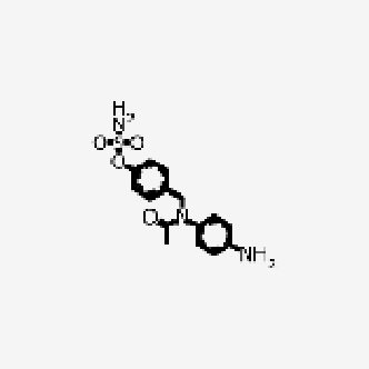 CC(=O)N(Cc1ccc(OS(N)(=O)=O)cc1)c1ccc(N)cc1